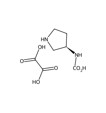 O=C(O)C(=O)O.O=C(O)N[C@@H]1CCNC1